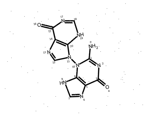 Nc1nc(=O)c2nc[nH]c2n1-n1cnc2c(=O)nc[nH]c21